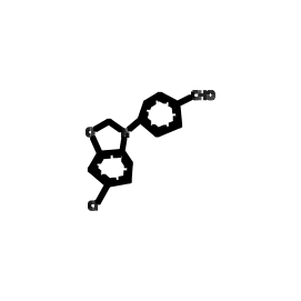 O=Cc1ccc(N2COc3cc(Cl)ccc32)cc1